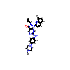 C=CCn1c(=O)c2cnc(Nc3ccc(N4CCN(C)CC4)cc3)nc2n1-c1ccc2c(n1)C(C)CC2